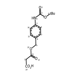 CC(C)(C)OC(=O)Nc1ccc(COC(=O)CC(=O)O)cc1